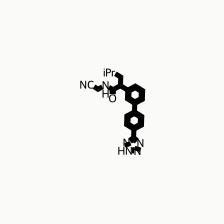 CC(C)CC(C(=O)NCC#N)c1cccc(-c2ccc(-c3nn[nH]n3)cc2)c1